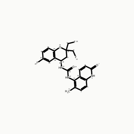 Cc1ccc2[nH]c(=O)ccc2c1NC(=O)N[C@@H]1CC(CF)(CF)Oc2ccc(F)cc21